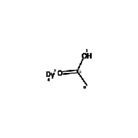 CC(=O)O.[Dy]